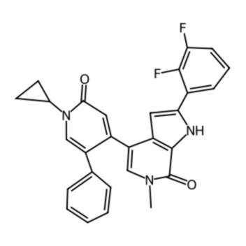 Cn1cc(-c2cc(=O)n(C3CC3)cc2-c2ccccc2)c2cc(-c3cccc(F)c3F)[nH]c2c1=O